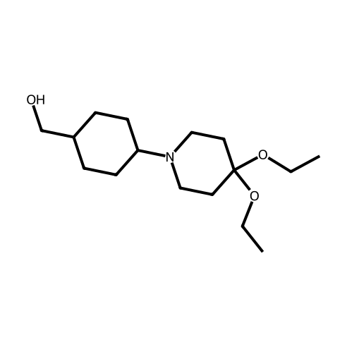 CCOC1(OCC)CCN(C2CCC(CO)CC2)CC1